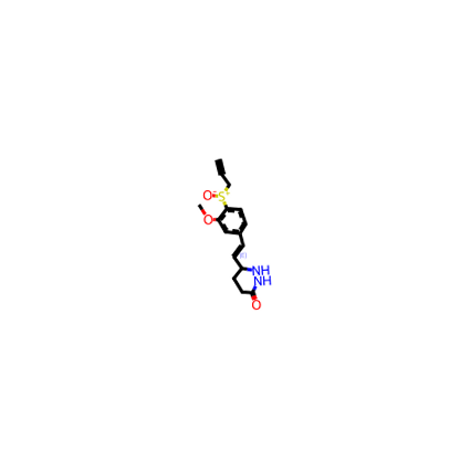 C#CC[S+]([O-])c1ccc(/C=C/C2CCC(=O)NN2)cc1OC